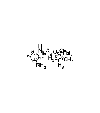 CC(C)(C)[Si](C)(C)OCCN1CC2=C(CCCC2N)N1